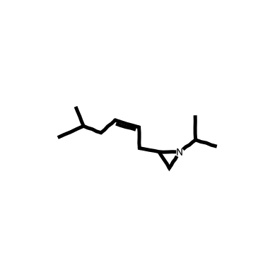 CC(C)C/C=C\CC1CN1C(C)C